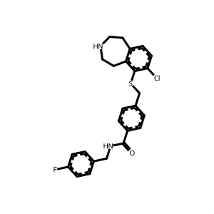 O=C(NCc1ccc(F)cc1)c1ccc(CSc2c(Cl)ccc3c2CCNCC3)cc1